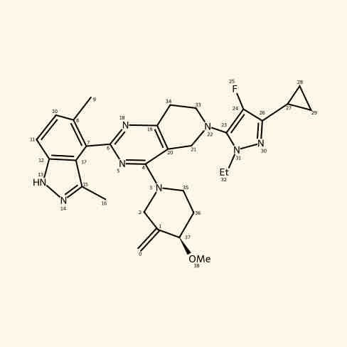 C=C1CN(c2nc(-c3c(C)ccc4[nH]nc(C)c34)nc3c2CN(c2c(F)c(C4CC4)nn2CC)CC3)CC[C@H]1OC